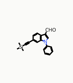 C[Si](C)(C)C#Cc1ccc2c(C=O)cn(-c3ccccc3)c2c1